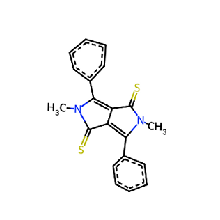 CN1C(=S)C2=C(c3ccccc3)N(C)C(=S)C2=C1c1ccccc1